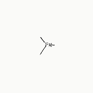 [CH3][52Al]([CH3])[CH3]